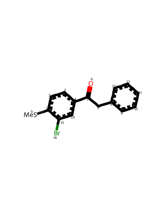 CSc1ccc(C(=O)Cc2ccccc2)cc1Br